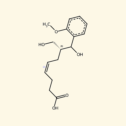 COc1ccccc1C(O)[C@@H](CO)C/C=C\CCC(=O)O